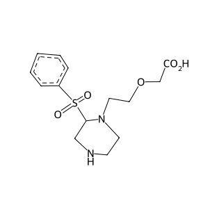 O=C(O)COCCN1CCNCC1S(=O)(=O)c1ccccc1